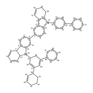 C1=CC2c3ccc(-c4ccc5c(c4)c4c(n5-c5ccc(-c6ccccc6)cc5)CCC=C4)cc3N(C3C=C(C4C=CCCC4)C=C(c4ccccc4)C3)C2C=C1